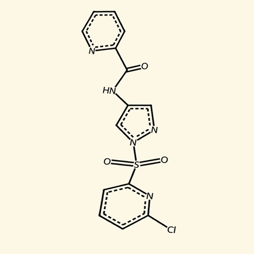 O=C(Nc1cnn(S(=O)(=O)c2cccc(Cl)n2)c1)c1ccccn1